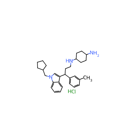 Cc1cccc(C(CCNC2CCC(N)CC2)c2cn(CC3CCCC3)c3ccccc23)c1.Cl